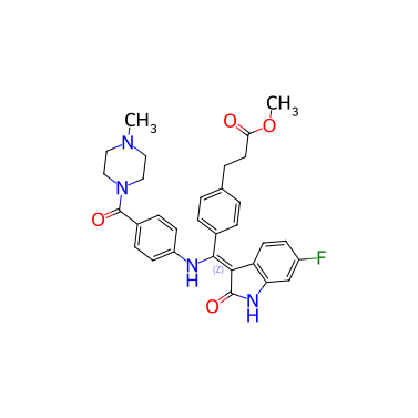 COC(=O)CCc1ccc(/C(Nc2ccc(C(=O)N3CCN(C)CC3)cc2)=C2/C(=O)Nc3cc(F)ccc32)cc1